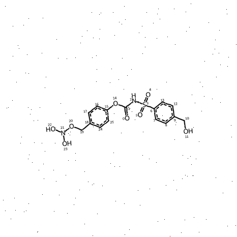 O=C(NS(=O)(=O)c1ccc(CO)cc1)Oc1ccc(CON(O)O)cc1